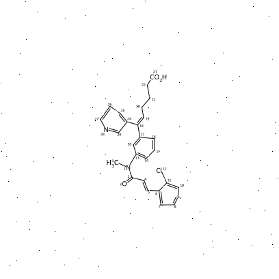 CN(C(=O)/C=C/c1ccccc1Cl)c1cccc(C(=CCCCC(=O)O)c2cccnc2)c1